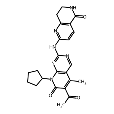 CC(=O)c1c(C)c2cnc(Nc3ccc4c(n3)CCNC4=O)nc2n(C2CCCC2)c1=O